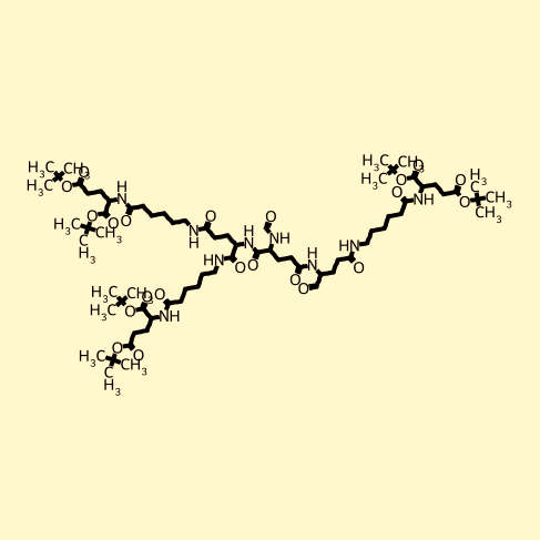 CC(C)(C)OC(=O)CCC(NC(=O)CCCCCNC(=O)CCC(C=O)NC(=O)CCC(NC=O)C(=O)NC(CCC(=O)NCCCCCC(=O)NC(CCC(=O)OC(C)(C)C)C(=O)OC(C)(C)C)C(=O)NCCCCCC(=O)NC(CCC(=O)OC(C)(C)C)C(=O)OC(C)(C)C)C(=O)OC(C)(C)C